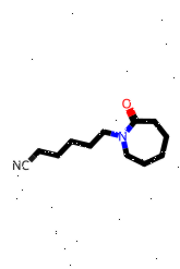 N#CCCCCCN1CCCCCC1=O